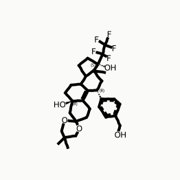 CC1(C)COC2(CCC3=C4C(CC[C@@]3(O)C2)C2CC[C@@](O)(C(F)(F)C(F)(F)F)C2(C)C[C@@H]4c2ccc(CO)cc2)OC1